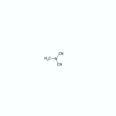 CN(C#N)C#N